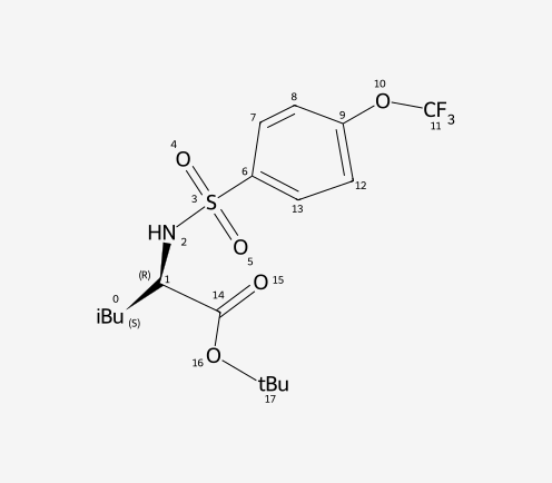 CC[C@H](C)[C@@H](NS(=O)(=O)c1ccc(OC(F)(F)F)cc1)C(=O)OC(C)(C)C